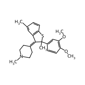 COc1ccc(C2(C)Sc3ccc(C)cc3C2=C2CCN(C)CC2)cc1OC